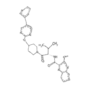 CC(C)[C@H](NC(=O)c1nc2ccccc2nc1O)C(=O)N1CCC(Oc2ncc(-c3cccnc3)cn2)CC1